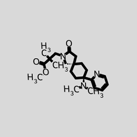 COC(=O)C(C)(C)CN1C[C@]2(CC[C@](c3ccccn3)(N(C)C)CC2)CC1=O